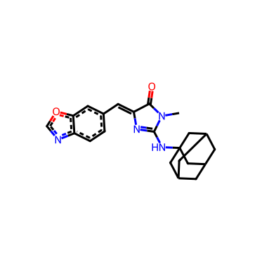 CN1C(=O)/C(=C/c2ccc3ncoc3c2)N=C1NC12CC3CC(CC(C3)C1)C2